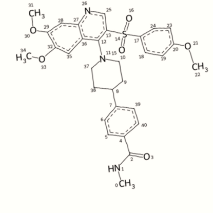 CNC(=O)c1ccc(C2CCN(c3c(S(=O)(=O)c4ccc(OC)cc4)cnc4cc(OC)c(OC)cc34)CC2)cc1